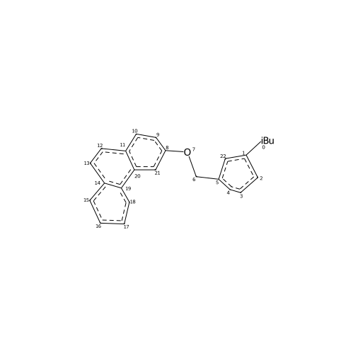 CCC(C)c1cccc(COc2ccc3ccc4ccccc4c3c2)c1